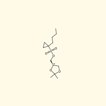 CCCCC1(S(=O)(=O)OC[C@H]2COC(C)(C)O2)CC1